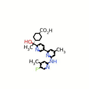 Cc1cc(Nc2cc(C)c(F)cn2)nc(-c2ccc(C(C)(O)[C@H]3CC[C@H](C(=O)O)CC3)nc2)c1